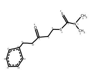 CN(C)C(=S)SCCC(=O)CCc1ccccc1